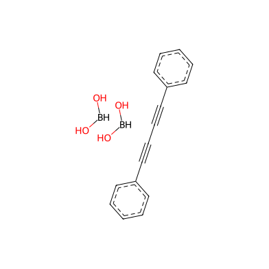 C(C#Cc1ccccc1)#Cc1ccccc1.OBO.OBO